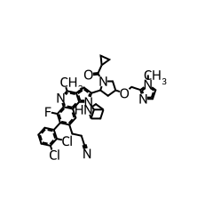 Cc1nc2c(F)c(-c3cccc(Cl)c3Cl)c(CCC#N)cc2c2c1cc(C1CC(OCc3nccn3C)CN1C(=O)C1CC1)n2C1C2CNC1C2